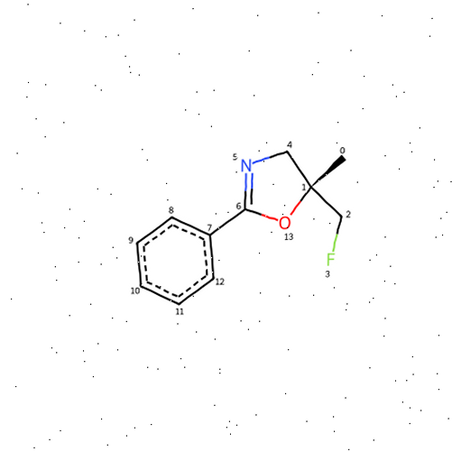 C[C@]1(CF)CN=C(c2ccccc2)O1